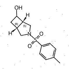 Cc1ccc(S(=O)(=O)N2C[C@@H]3CC(O)[C@@H]3C2)cc1